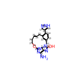 Nc1nc2nc3c1nc(O)n3Cc1ccc(-c3cn[nH]c3)c(c1)C/C=C/CCO2